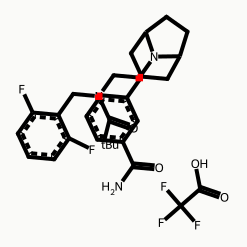 CC(C)(C)C(=O)N(CCN1C2CCC1CC(c1cccc(C(N)=O)c1)C2)Cc1c(F)cccc1F.O=C(O)C(F)(F)F